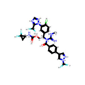 CCNC(=N)N(C(=O)c1ccc(-c2cnn(C(F)F)c2)cc1)[C@H](COC(=O)N[C@@H]1CC1(F)F)c1ccc(Cl)c(-n2ncnc2C(F)F)c1